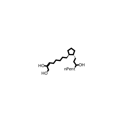 CCCCCC(O)CC[C@H]1CCC[C@@H]1CCCCC/C=C(/O)CO